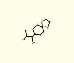 CC(C)C(O)C1CCC2(CC1)OCCO2